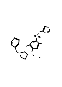 Cc1cc(S(=O)(=O)Nc2cscn2)c(F)cc1N(C)[C@H]1CCN(Cc2ccccc2)C1.O=CO